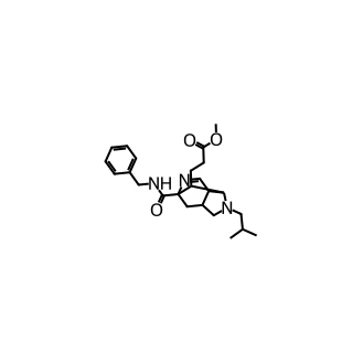 COC(=O)CCC1C2C3C=NC1(C(=O)NCc1ccccc1)CC3CN2CC(C)C